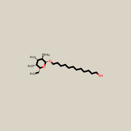 CC(=O)N[C@H]1[C@H](OCCCCCCCCCCCCO)O[C@H](COC(C)=O)[C@H](OC(C)=O)[C@@H]1OC(C)=O